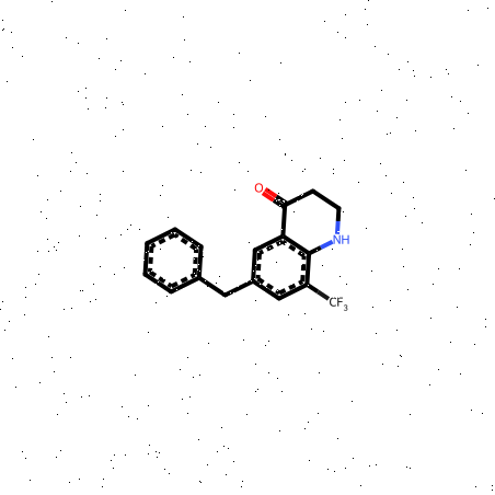 O=C1CCNc2c1cc(Cc1ccccc1)cc2C(F)(F)F